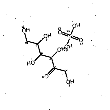 O=C(CO)C(O)C(O)C(O)CO.O=S(=O)(O)O